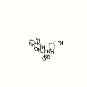 COc1ncccc1Nc1ncc([N+](=O)[O-])c(NC2CCC(CC#N)CC2)n1